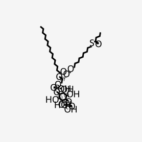 CCCCCCCCCCCCCCCC(=O)O[C@H](COCOCCCCCCCCCSC(=O)CCC)COP(=O)(O)OC1C(O)[C@H](O)C(OP(=O)(O)O)[C@H](O)[C@@H]1O